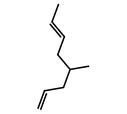 C=CCC(C)CC=CC